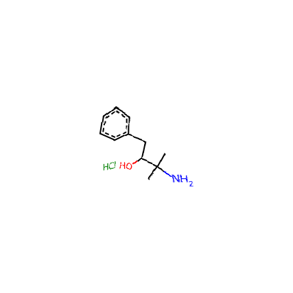 CC(C)(N)C(O)Cc1ccccc1.Cl